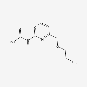 CC(C)(C)C(=O)Nc1cccc(COCCC(F)(F)F)n1